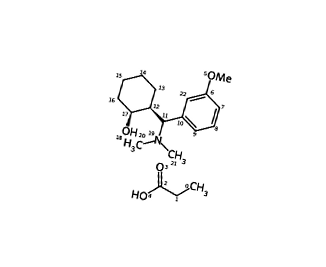 CCC(=O)O.COc1cccc(C([C@@H]2CCCC[C@@H]2O)N(C)C)c1